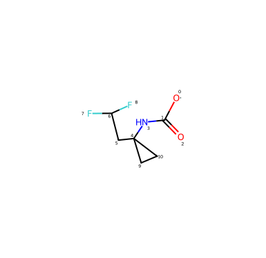 [O]C(=O)NC1(CC(F)F)CC1